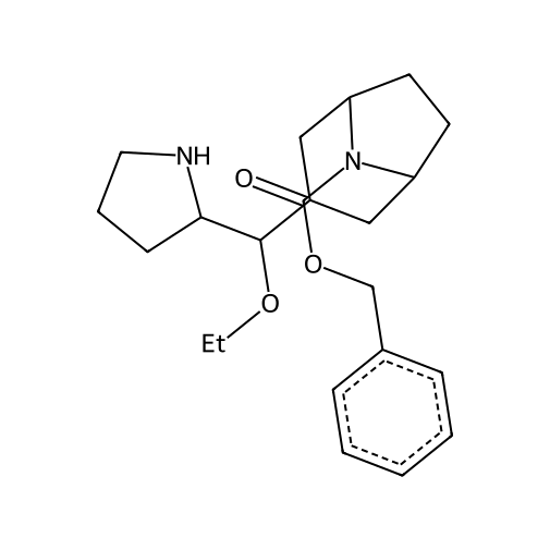 CCOC(C1CC2CCC(C1)N2C(=O)OCc1ccccc1)C1CCCN1